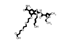 CCn1nc(C)cc1C(=O)Nc1nc2cc(C(N)=O)cc(OCCOCCOCCC(=O)O)c2n1C/C=C/CO